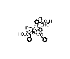 CC(C)C[C@H](NC(=O)[C@@H]1CCCN1C(=O)OCc1ccccc1)C(=O)N[C@@H](Cc1ccccc1)C(=O)O.O=CC(C(=O)O)c1c(Cl)cccc1Cl